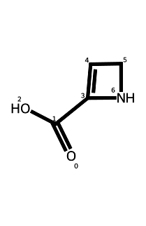 O=C(O)C1=CCN1